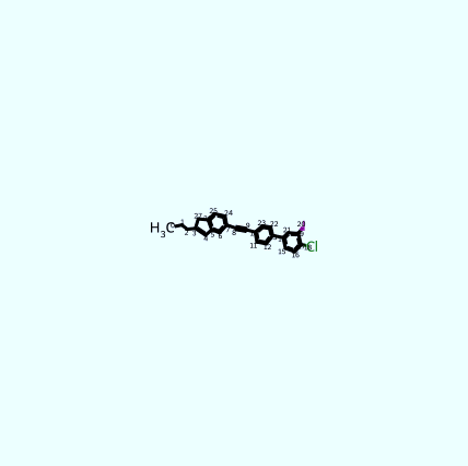 CCCC1=Cc2cc(C#Cc3ccc(-c4ccc(Cl)c(I)c4)cc3)ccc2C1